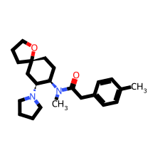 Cc1ccc(CC(=O)N(C)[C@@H]2CC[C@]3(CCCO3)C[C@H]2N2CCCC2)cc1